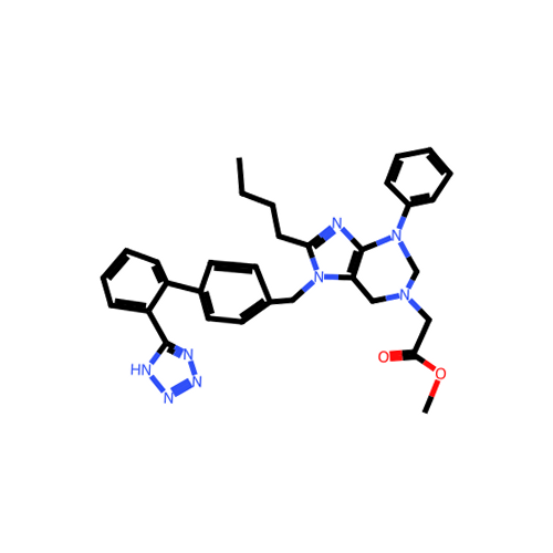 CCCCc1nc2c(n1Cc1ccc(-c3ccccc3-c3nnn[nH]3)cc1)CN(CC(=O)OC)CN2c1ccccc1